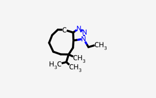 CCN1N=NC2CCCCCCC(C)(C(C)C)CC21